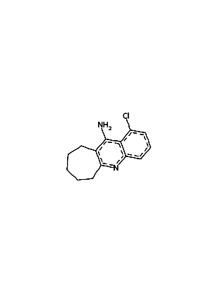 Nc1c2c(nc3cccc(Cl)c13)CCCCC2